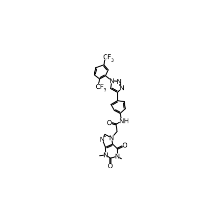 Cn1c(=O)c2c(ncn2CC(=O)Nc2ccc(-c3cn(-c4cc(C(F)(F)F)ccc4C(F)(F)F)nn3)cc2)n(C)c1=O